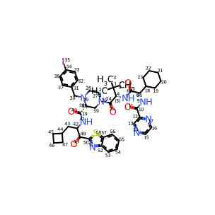 CC(C)(C)[C@H](NC(=O)[C@@H](NC(=O)c1cnccn1)C1CCCCC1)C(=O)N1CCN(Cc2ccc(I)cc2)[C@@H](C(=O)NC(CC2CCC2)C(=O)c2nc3ccccc3s2)C1